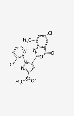 Cc1cc(Cl)cc2c(=O)oc(-c3cc([S+](C)[O-])nn3-c3ncccc3Cl)nc12